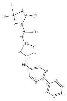 N#CC1CC(F)(F)CN1C(=O)CN1CC[C@H](Nc2ccc(-c3ccccc3)cc2)C1